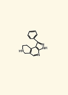 c1ccc(-c2n[nH]c3ncc4c(c23)CCNC4)cc1